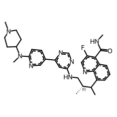 CNC(=O)c1c(F)cnc2c(C(C)[C@H](C)CNc3cc(-c4ccc(N(C)C5CCN(C)CC5)nc4)ncn3)cccc12